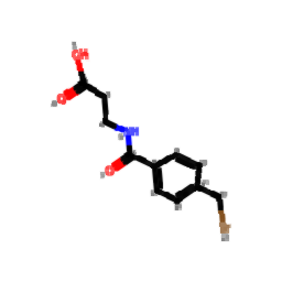 O=C(O)CCNC(=O)c1ccc(CBr)cc1